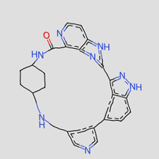 O=C1NC2CCC(CC2)NCc2cncc(c2)-c2ccc3[nH]nc(c3c2)-c2nc3c1nccc3[nH]2